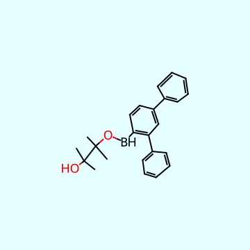 CC(C)(O)C(C)(C)OBc1ccc(-c2ccccc2)cc1-c1ccccc1